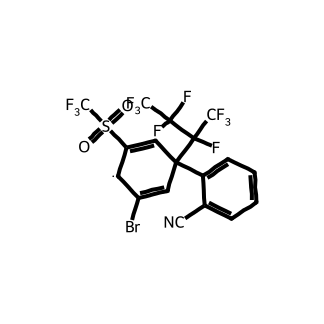 N#Cc1ccccc1C1(C(F)(C(F)(F)F)C(F)(F)C(F)(F)F)C=C(Br)[CH]C(S(=O)(=O)C(F)(F)F)=C1